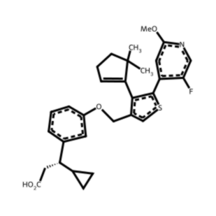 COc1cc(-c2scc(COc3cccc([C@@H](CC(=O)O)C4CC4)c3)c2C2=CCCC2(C)C)c(F)cn1